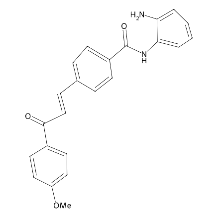 COc1ccc(C(=O)C=Cc2ccc(C(=O)Nc3ccccc3N)cc2)cc1